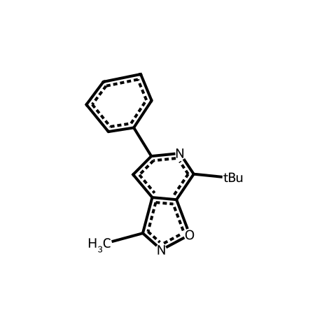 Cc1noc2c(C(C)(C)C)nc(-c3ccccc3)cc12